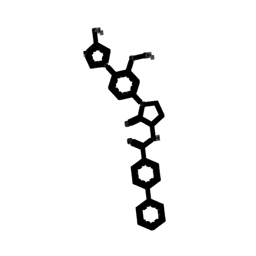 COc1cc(N2CCC(NC(=O)c3ccc(-c4ccccc4)cc3)C2=O)ccc1-n1cnc(C)c1